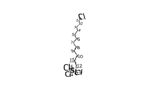 ClCCCCCCCCCCCC[Si](Cl)(Cl)Cl